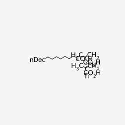 C=C(C)C(=O)O.C=C(C)C(=O)O.CCCCCCCCCCCCCCCCCC(=O)O.[Ti]